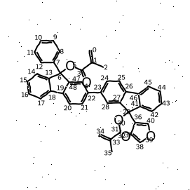 C=C(C)C(=O)OC1(c2ccccc2)c2ccccc2-c2ccc(-c3ccc4c(c3)C(OC(=O)C(=C)C)(c3ccoc3)c3ccccc3-4)cc21